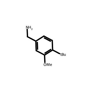 COc1cc(CN)ccc1C(C)(C)C